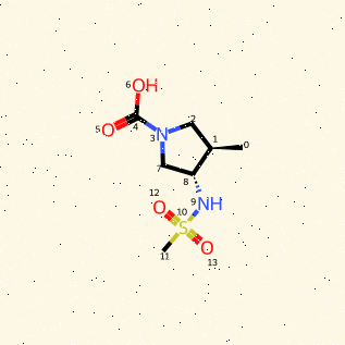 C[C@@H]1CN(C(=O)O)C[C@H]1NS(C)(=O)=O